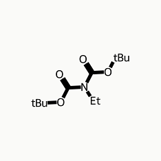 CCN(C(=O)OC(C)(C)C)C(=O)OC(C)(C)C